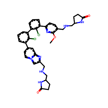 COc1nc(-c2cccc(-c3cccc(-c4ccn5cc(CNCC6CCC(=O)N6)nc5c4)c3Cl)c2Cl)ccc1CNCC1CCC(=O)N1